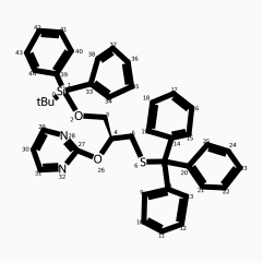 CC(C)(C)[Si](OC[C@@H](CSC(c1ccccc1)(c1ccccc1)c1ccccc1)Oc1ncccn1)(c1ccccc1)c1ccccc1